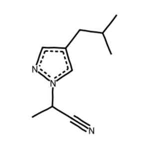 CC(C)Cc1cnn(C(C)C#N)c1